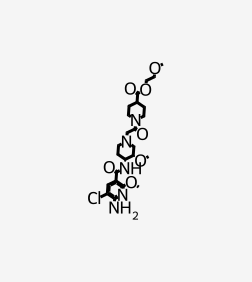 COCCOC(=O)C1CCN(C(=O)CN2CC[C@@H](NC(=O)c3cc(Cl)c(N)nc3OC)[C@@H](OC)C2)CC1